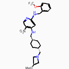 COC1CN(C[C@H]2CC[C@H](CNc3cc(NCc4ccccc4OC(F)(F)F)ncc3[N+](=O)[O-])CC2)C1